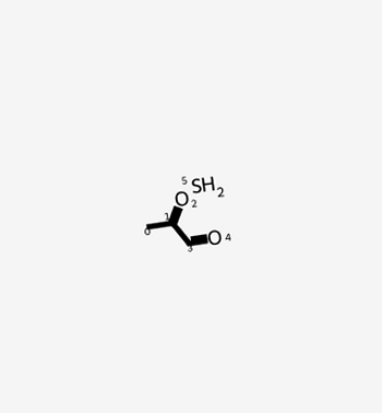 CC(=O)C=O.S